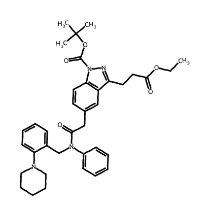 CCOC(=O)CCc1nn(C(=O)OC(C)(C)C)c2ccc(CC(=O)N(Cc3ccccc3N3CCCCC3)c3ccccc3)cc12